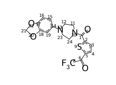 O=C(c1ccc(C(=O)C(F)(F)F)s1)N1CCN(c2ccc3c(c2)OCO3)CC1